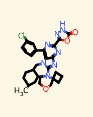 CC1CCC(Cn2c(N3CCOCC34CCC4)nc3nc(-c4n[nH]c(=O)o4)nc(-c4cccc(Cl)c4)c32)CC1